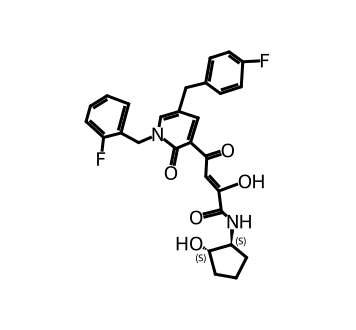 O=C(N[C@H]1CCC[C@@H]1O)C(O)=CC(=O)c1cc(Cc2ccc(F)cc2)cn(Cc2ccccc2F)c1=O